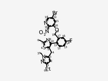 CCc1cc(Cc2sc(C)nc2-c2ccc(F)cc2COc2cc(Br)cnc2[N+](=O)[O-])n(C)n1